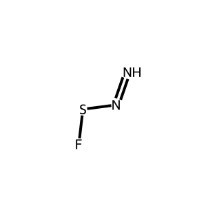 N=NSF